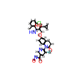 Cc1cccc(Cl)c1C(=N)/C(COc1ccc2c(c1)CCC(=O)N2c1ncc(C(=O)N=O)cc1F)=C(\O)C1CC1